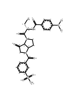 CCN(CC)c1ccc(C(=O)N[C@@H](CC(C)C)C(=O)N2CCC3C2C(=O)CN3C(=O)c2cccc(S(C)(=O)=O)c2)cc1